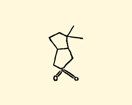 CC1(C)CCC2CS(=O)(=O)CC21